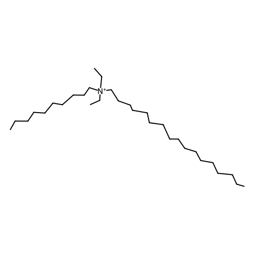 CCCCCCCCCCCCCCCCC[N+](CC)(CC)CCCCCCCCCC